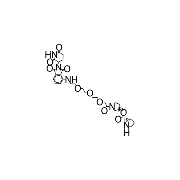 O=C1CCC(N2C(=O)c3cccc(NCCOCCOCCOCC(=O)N4CC[C@@H](OC(=O)[C@@H]5CCCN5)C4)c3C2=O)C(=O)N1